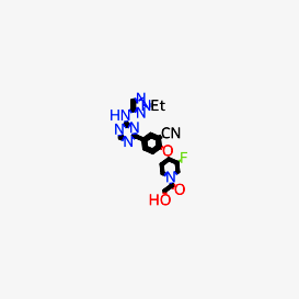 CCn1ncc(Nc2ncnc(-c3ccc(O[C@H]4CCN(C(=O)CO)C[C@@H]4F)c(C#N)c3)n2)n1